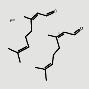 CC(C)=CCC/C(C)=C\C=O.CC(C)=CCC/C(C)=C\C=O.[V+5]